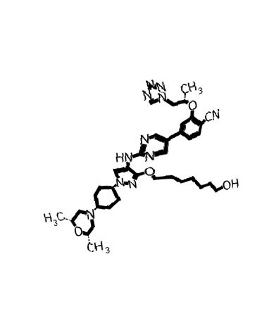 C[C@@H]1CN([C@H]2CC[C@H](n3cc(Nc4ncc(-c5ccc(C#N)c(O[C@@H](C)Cn6cnnn6)c5)cn4)c(OCCCCCCCO)n3)CC2)C[C@H](C)O1